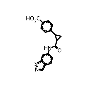 O=C(O)c1ccc(C2CC2C(=O)Nc2ccc3cnsc3c2)cc1